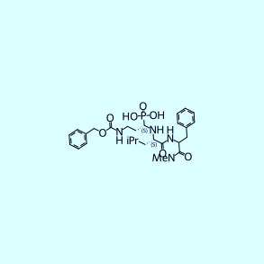 CNC(=O)C(Cc1ccccc1)NC(=O)[C@H](CC(C)C)N[C@H](CCNC(=O)OCc1ccccc1)P(=O)(O)O